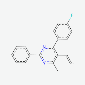 [CH]=Cc1c(C)nc(-c2ccccc2)nc1-c1ccc(F)cc1